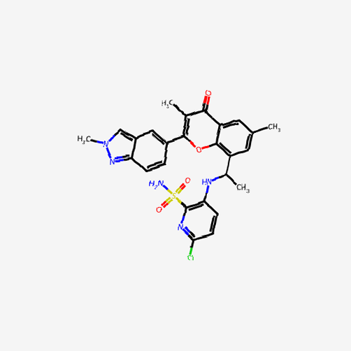 Cc1cc(C(C)Nc2ccc(Cl)nc2S(N)(=O)=O)c2oc(-c3ccc4nn(C)cc4c3)c(C)c(=O)c2c1